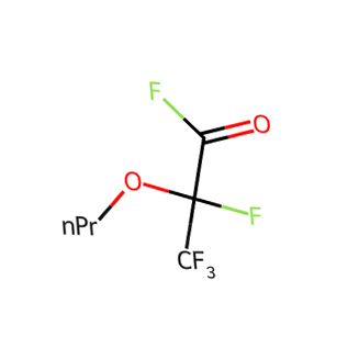 CCCOC(F)(C(=O)F)C(F)(F)F